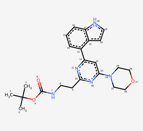 CC(C)(C)OC(=O)NCCc1nc(-c2cccc3[nH]ccc23)cc(N2CCOCC2)n1